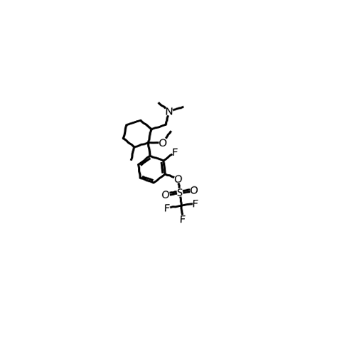 COC1(c2cccc(OS(=O)(=O)C(F)(F)F)c2F)C(C)CCCC1CN(C)C